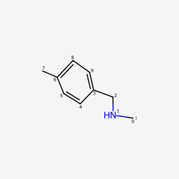 [CH]NCc1ccc(C)cc1